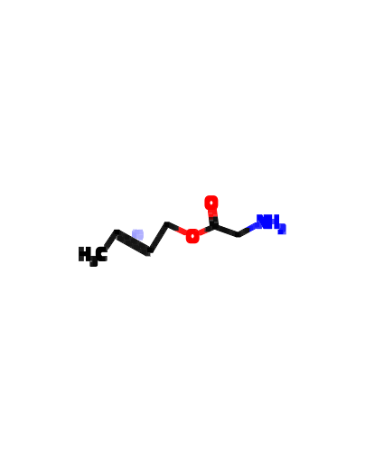 C/C=C/COC(=O)CN